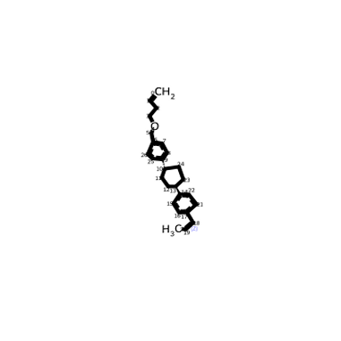 C=CCCOCc1ccc([C@H]2CC[C@H](c3ccc(/C=C\C)cc3)CC2)cc1